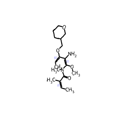 C/C=C(/C)C(=O)N(C)/C(OC)=C(N)\C(=C/C)OCC1CCCOC1